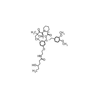 CCC(O)CCC(=O)NCCOc1cccc([C@@H](CCc2ccc(OC)c(OC)c2)OC(=O)[C@@H]2CCCCN2C(=O)C(=O)C(C)(C)CC)c1